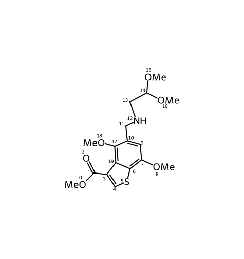 COC(=O)c1csc2c(OC)cc(CNCC(OC)OC)c(OC)c12